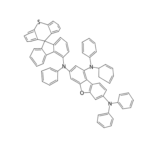 C1=CCC(N(c2ccccc2)c2cc(N(c3ccccc3)c3cccc4c3-c3ccccc3C43c4ccccc4Sc4ccccc43)cc3oc4cc(N(c5ccccc5)c5ccccc5)ccc4c23)C=C1